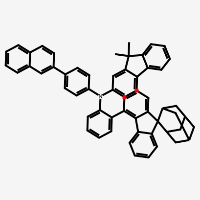 CC1(C)c2ccccc2-c2ccc(N(c3ccc(-c4ccc5ccccc5c4)cc3)c3ccccc3-c3cccc4c3-c3ccccc3C43C4CC5CC(C4)CC3C5)cc21